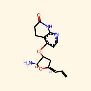 C=C/C=C1\CC(Oc2ccnc3c2CCC(=O)N3)[C@H](N)O1